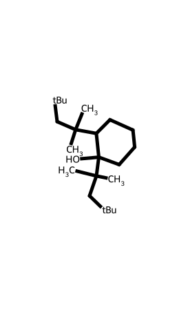 CC(C)(C)CC(C)(C)C1CCCCC1(O)C(C)(C)CC(C)(C)C